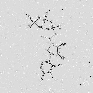 O=c1ccn([C@@H]2O[C@H](C(F)OP(=O)(O)OP(=O)(O)OP(=O)(O)O)[C@@H](O)[C@H]2O)c(=O)[nH]1